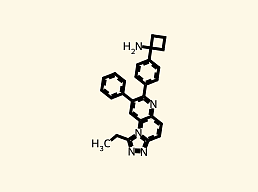 CCc1nnc2ccc3nc(-c4ccc(C5(N)CCC5)cc4)c(-c4ccccc4)cc3n12